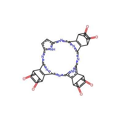 O=C1C(=O)C2C=CC1C1=C2c2nc1nc1ccc(nc3nc(nc4[nH]c(n2)c2c4C4C=CC2C(=O)C4=O)C2=C3C3C=CC2C(=O)C3=O)[nH]1